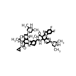 CNC(=O)c1c(NCc2ccc3nc4c(C(=O)NC5CC5)c(NC(C)C)c5ncc(N6CC(C)NC(C)C6)nc5n4c3c2)c2ncc(N3C[C@@H](C)N[C@@H](C)C3)nc2n2c1nc1cc(F)c(F)cc12